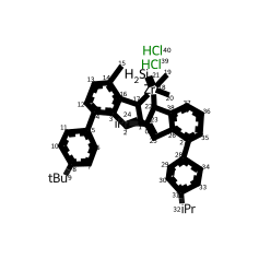 CC1=Cc2c(-c3ccc(C(C)(C)C)cc3)ccc(C)c2[CH]1[Zr]([CH3])([CH3])(=[SiH2])[CH]1C(C(C)C)=Cc2c(-c3ccc(C(C)C)cc3)cccc21.Cl.Cl